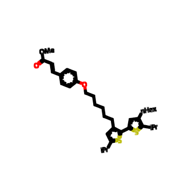 CCCCCCc1cc(-c2sc(C(C)C)cc2CCCCCCOc2ccc(/C=C/C(=O)OC)cc2)sc1C(C)C